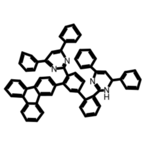 C1=C(c2ccccc2)N=C(c2ccccc2-c2ccc(-c3nc(-c4ccccc4)cc(-c4ccccc4)n3)c(-c3ccc4c5ccccc5c5ccccc5c4c3)c2)NC1c1ccccc1